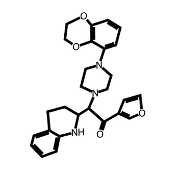 O=C(c1ccoc1)C(C1CCc2ccccc2N1)N1CCN(c2cccc3c2OCCO3)CC1